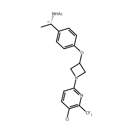 CC(=O)N[C@@H](C)c1ccc(OC2CN(c3ccc(Cl)c(C(F)(F)F)n3)C2)cc1